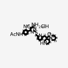 CC(=O)Nc1ccc(-c2nc(SCc3cccc(CCC(=O)[N+]4(C5CCNCC5)CCCCC4)n3)nc(N)c2C#N)cc1.Cl